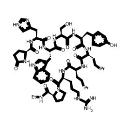 CCNC(=O)[C@@H]1CCCN1C(=O)[C@H](CCCNC(=N)N)NC(=O)[C@H](CCC(C)C)NC(=O)[C@@H](CCC(C)C)NC(=O)[C@H](Cc1ccc(O)cc1)NC(=O)[C@H](CO)NC(=O)[C@H](Cc1c[nH]c2ccccc12)NC(=O)[C@H](Cc1c[nH]cn1)NC(=O)[C@@H]1CCC(=O)N1